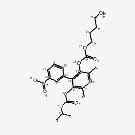 Cc1nc(C)c(OC(=O)OC(C)C)c(-c2cccc([N+](=O)[O-])c2)c1OC(=O)OCCCCO